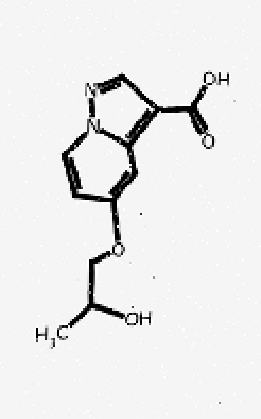 CC(O)COc1ccn2ncc(C(=O)O)c2c1